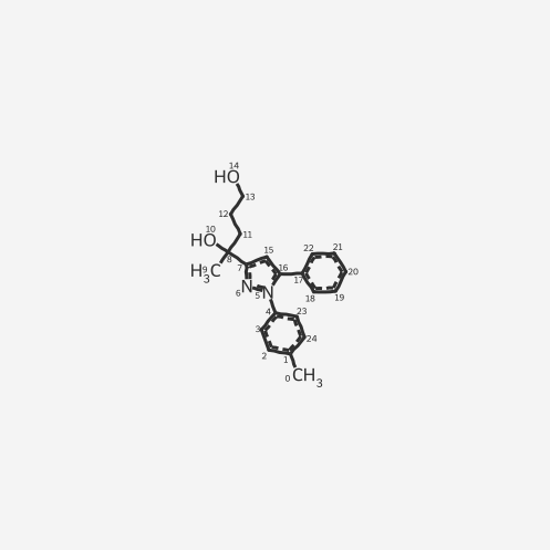 Cc1ccc(-n2nc(C(C)(O)CCCO)cc2-c2ccccc2)cc1